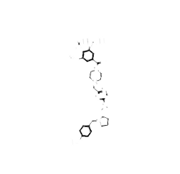 COc1cc(C(=O)N2CCN([C@@H](C)c3nsc(NC[C@@H]4CCCN4Cc4ccc(Br)cc4)n3)CC2)cc(OC)c1OC